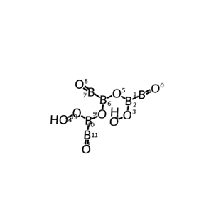 O=BB(OO)OB(B=O)OB(B=O)OO